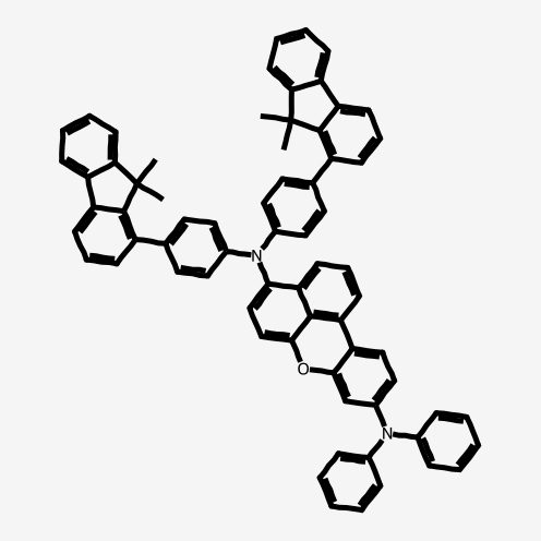 CC1(C)c2ccccc2-c2cccc(-c3ccc(N(c4ccc(-c5cccc6c5C(C)(C)c5ccccc5-6)cc4)c4ccc5c6c(cccc46)-c4ccc(N(c6ccccc6)c6ccccc6)cc4O5)cc3)c21